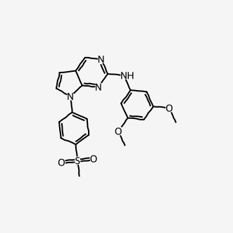 COc1cc(Nc2ncc3ccn(-c4ccc(S(C)(=O)=O)cc4)c3n2)cc(OC)c1